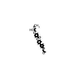 COCC(O)COc1ccc(C(=O)OC2CCC(c3ccc(OCC4CO4)cc3)CC2)cc1